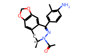 CC(=O)N1N=C(c2ccc(N)c(C)c2)c2cc3c(cc2C[C@@H]1C)OCO3